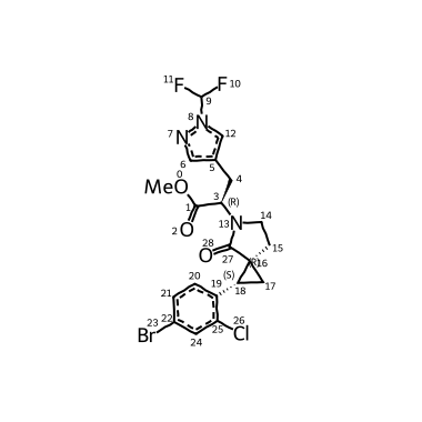 COC(=O)[C@@H](Cc1cnn(C(F)F)c1)N1CC[C@@]2(C[C@@H]2c2ccc(Br)cc2Cl)C1=O